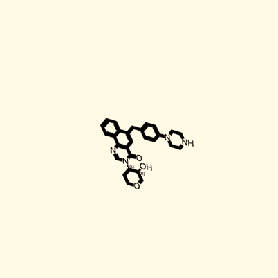 O=c1c2cc(Cc3ccc(N4CCNCC4)cc3)c3ccccc3c2ncn1[C@H]1CCOC[C@@H]1O